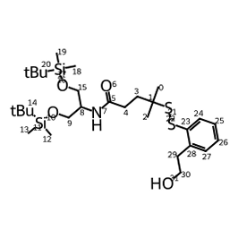 CC(C)(CCC(=O)NC(CO[Si](C)(C)C(C)(C)C)CO[Si](C)(C)C(C)(C)C)SSc1ccccc1CCO